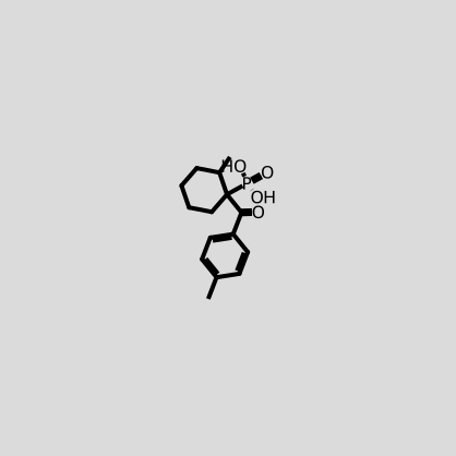 Cc1ccc(C(=O)C2(P(=O)(O)O)CCCCC2C)cc1